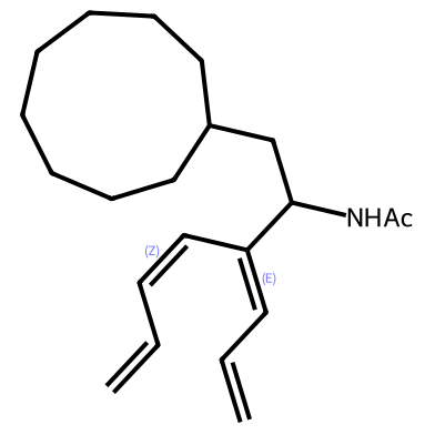 C=C/C=C\C(=C/C=C)C(CC1CCCCCCCC1)NC(C)=O